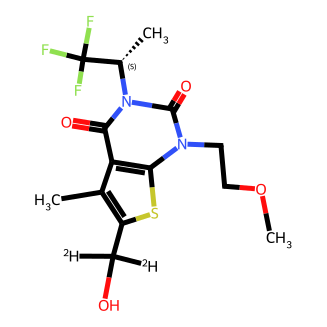 [2H]C([2H])(O)c1sc2c(c1C)c(=O)n([C@@H](C)C(F)(F)F)c(=O)n2CCOC